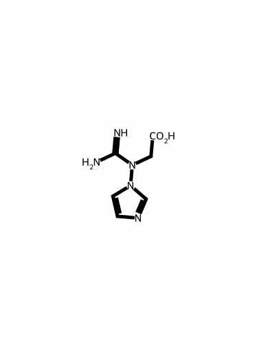 N=C(N)N(CC(=O)O)n1ccnc1